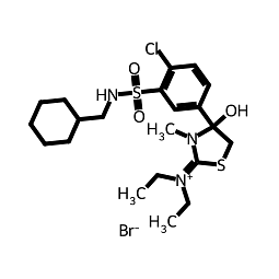 CC[N+](CC)=C1SCC(O)(c2ccc(Cl)c(S(=O)(=O)NCC3CCCCC3)c2)N1C.[Br-]